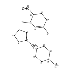 CC(=O)OC1CCCC1.CC1=CC(C)C(C=O)CC1.CCCCC1[CH]CCCC1